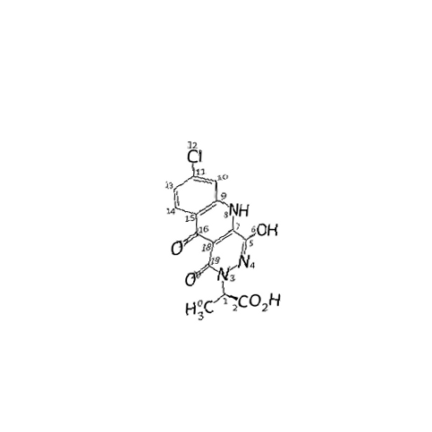 C[C@H](C(=O)O)n1nc(O)c2[nH]c3cc(Cl)ccc3c(=O)c2c1=O